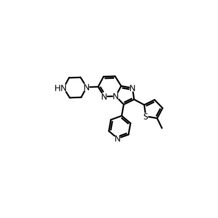 Cc1ccc(-c2nc3ccc(N4CCNCC4)nn3c2-c2ccncc2)s1